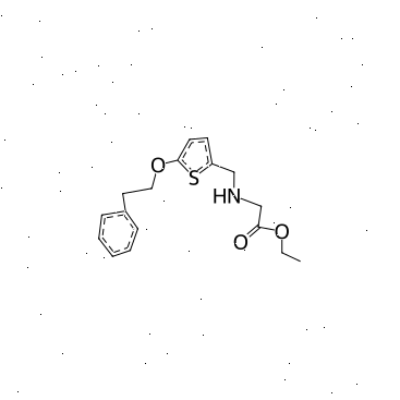 CCOC(=O)CNCc1ccc(OCCc2ccccc2)s1